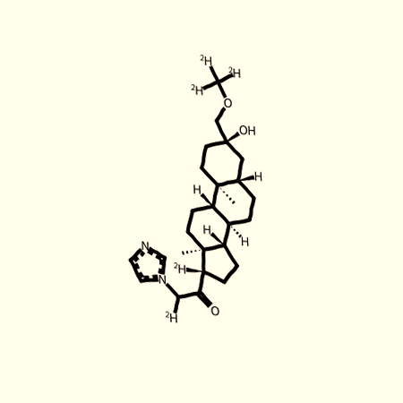 [2H]C(C(=O)[C@@]1([2H])CC[C@H]2[C@@H]3CC[C@H]4C[C@@](O)(COC([2H])([2H])[2H])CC[C@]4(C)[C@H]3CC[C@@]21C)n1ccnc1